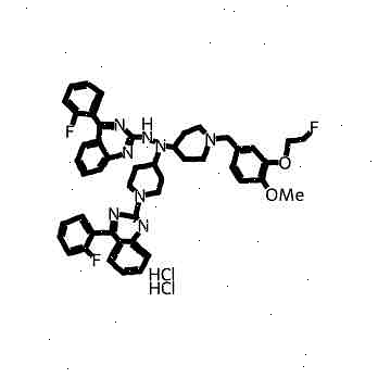 COc1ccc(CN2CCC(N(Nc3nc(-c4ccccc4F)c4ccccc4n3)C3CCN(c4nc(-c5ccccc5F)c5ccccc5n4)CC3)CC2)cc1OCCF.Cl.Cl